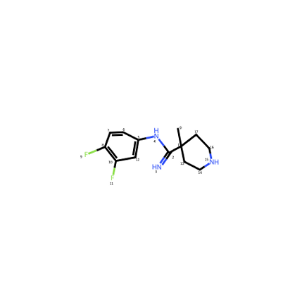 CC1(C(=N)Nc2ccc(F)c(F)c2)CCNCC1